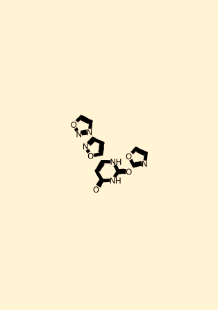 O=c1cc[nH]c(=O)[nH]1.c1cnoc1.c1cocn1.c1conn1